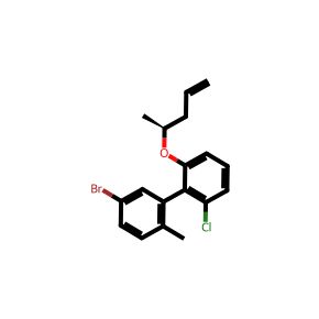 C=CC[C@H](C)Oc1cccc(Cl)c1-c1cc(Br)ccc1C